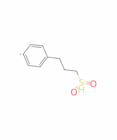 O=[SH](=O)CCCc1cc[c]cc1